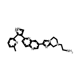 Cc1cccc(-c2n[nH]cc2-c2ccc3ncc(-c4cn5c(n4)CN(CCN)CC5)cc3n2)n1